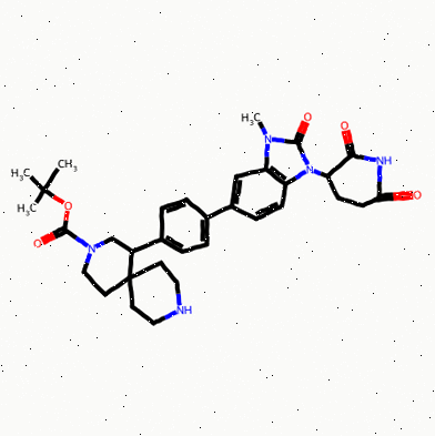 Cn1c(=O)n(C2CCC(=O)NC2=O)c2ccc(-c3ccc(C4CN(C(=O)OC(C)(C)C)CCC45CCNCC5)cc3)cc21